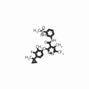 Cc1c(Oc2nnc(C(F)(F)F)c(C)c2C(=O)Nc2cccc(S(C)(=N)=O)c2)ccc(C2(C)CC2)c1F